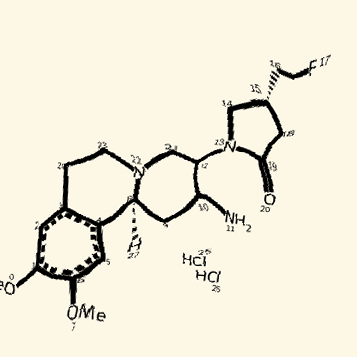 COc1cc2c(cc1OC)[C@@H]1CC(N)C(N3C[C@H](CF)CC3=O)CN1CC2.Cl.Cl